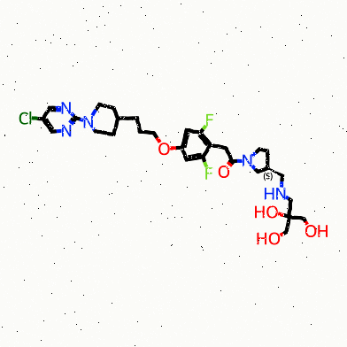 O=C(Cc1c(F)cc(OCCCC2CCN(c3ncc(Cl)cn3)CC2)cc1F)N1CC[C@@H](CNCC(O)(CO)CO)C1